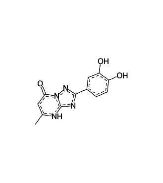 Cc1cc(=O)n2nc(-c3ccc(O)c(O)c3)nc2[nH]1